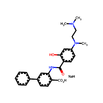 CN(C)CCN(C)c1ccc(C(=O)Nc2cc(-c3ccccc3)ccc2C(=O)O)c(O)c1.[NaH]